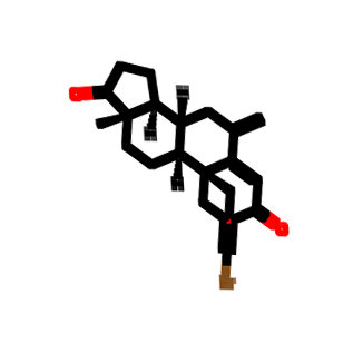 C=C1C[C@@H]2[C@H](CC[C@]3(C)C(=O)CC[C@@H]23)[C@@]2(CC#CBr)CCC(=O)C=C12